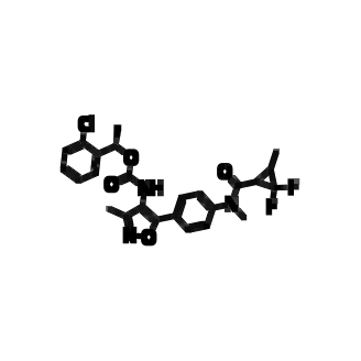 Cc1noc(-c2ccc(N(C)C(=O)C3C(C)C3(F)F)cc2)c1NC(=O)O[C@H](C)c1ccccc1Cl